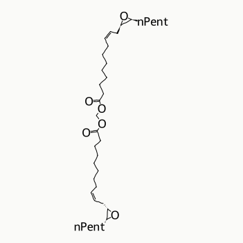 CCCCC[C@@H]1O[C@@H]1C/C=C\CCCCCCCC(=O)OCOC(=O)CCCCCCC/C=C\C[C@@H]1O[C@@H]1CCCCC